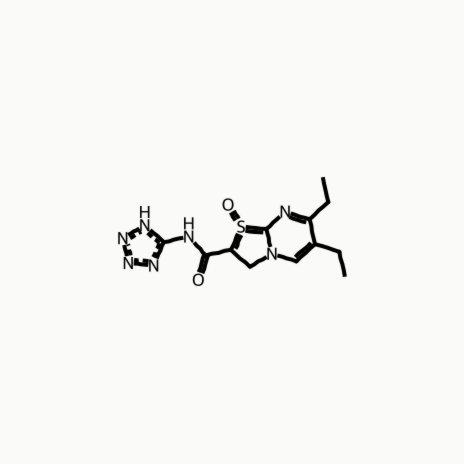 CCC1=CN2CC(C(=O)Nc3nnn[nH]3)=S(=O)=C2N=C1CC